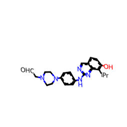 CC(C)c1c(O)ccc2cnc(Nc3ccc(N4CCN(CC=O)CC4)cc3)nc12